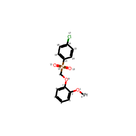 CC(C)Oc1ccccc1OCS(=O)(=O)c1ccc(Cl)cc1